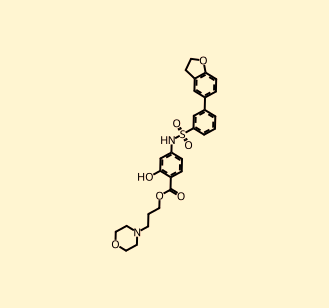 O=C(OCCCN1CCOCC1)c1ccc(NS(=O)(=O)c2cccc(-c3ccc4c(c3)CCO4)c2)cc1O